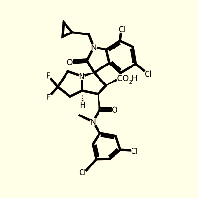 CN(C(=O)[C@H]1[C@H]2CC(F)(F)CN2[C@]2(C(=O)N(CC3CC3)c3c(Cl)cc(Cl)cc32)[C@H]1C(=O)O)c1cc(Cl)cc(Cl)c1